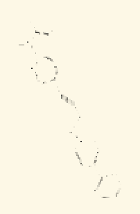 CC(=O)Nc1ccc(C#CCCN2C=CC(C3=CCC=CC3)=CC2)cn1